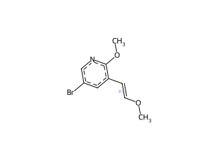 CO/C=C/c1cc(Br)cnc1OC